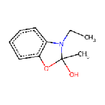 CCN1c2ccccc2OC1(C)O